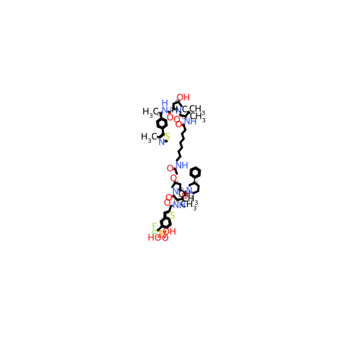 Cc1ncsc1-c1ccc([C@H](C)NC(=O)[C@@H]2C[C@@H](O)CN2C(=O)[C@@H](NC(=O)CCCCCCCCNC(=O)CO[C@H]2C[C@@H](C(=O)N3CCC[C@H](c4ccccc4)C3)N(C(=O)[C@@H](NC(=O)c3cc4cc(C(F)(F)P(=O)(O)O)ccc4s3)C(C)(C)C)C2)C(C)(C)C)cc1